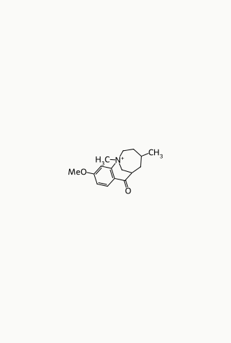 COc1ccc2c(c1)[N+]1(C)CCC(C)CC(C1)C2=O